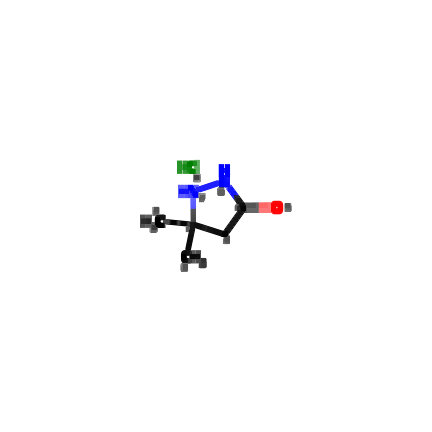 CC1(C)CC(=O)NN1.Cl